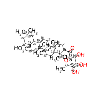 CC1O[C@@H](C(=O)[C@@H]2CC[C@@]3(C)C(CC[C@]4(C)C3CC=C3C5CC(C)(C)CC[C@]5(C(=O)O)CC[C@]34C)C2(C)C)C(O)C(O)[C@@H]1O